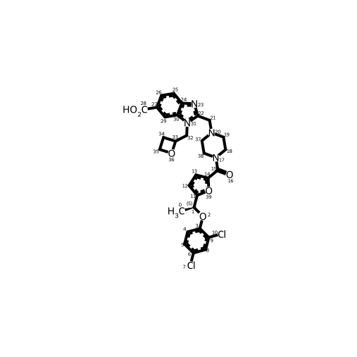 C[C@H](Oc1ccc(Cl)cc1Cl)c1ccc(C(=O)N2CCN(Cc3nc4ccc(C(=O)O)cc4n3CC3CCO3)CC2)o1